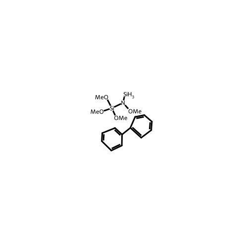 CON([SiH3])[Si](OC)(OC)OC.c1ccc(-c2ccccc2)cc1